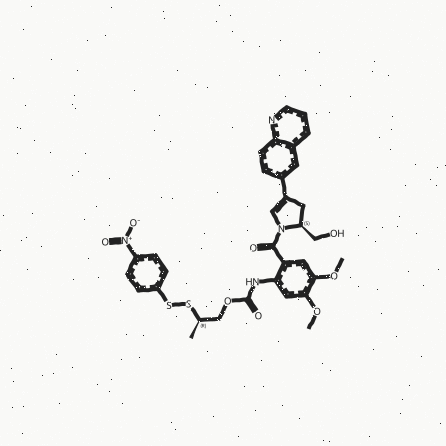 COc1cc(NC(=O)OC[C@@H](C)SSc2ccc([N+](=O)[O-])cc2)c(C(=O)N2C=C(c3ccc4ncccc4c3)C[C@H]2CO)cc1OC